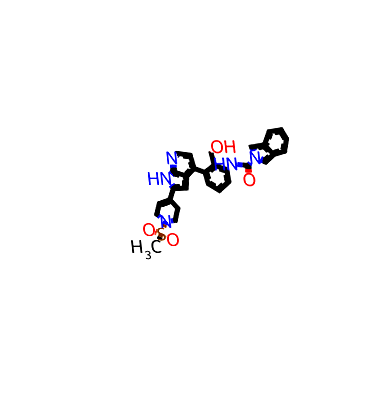 CS(=O)(=O)N1CC=C(c2cc3c(-c4cccc(NC(=O)n5cc6ccccc6c5)c4CO)ccnc3[nH]2)CC1